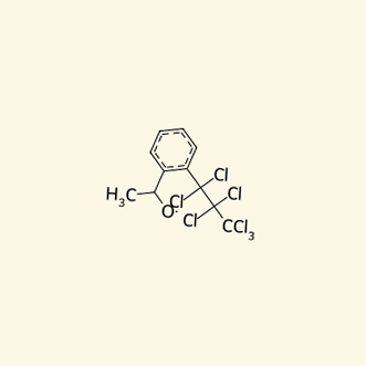 CC([O])c1ccccc1C(Cl)(Cl)C(Cl)(Cl)C(Cl)(Cl)Cl